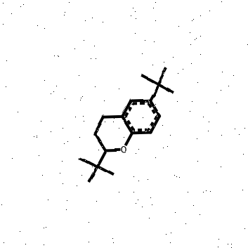 CC(C)(C)c1ccc2c(c1)CCC(C(C)(C)C)O2